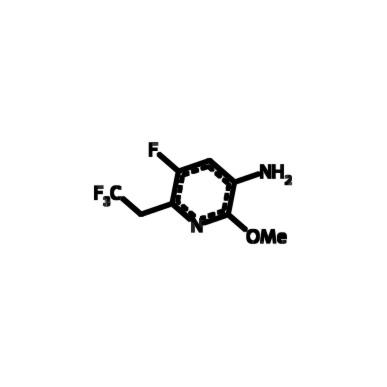 COc1nc(CC(F)(F)F)c(F)cc1N